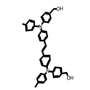 Cc1ccc(N(c2ccc(C=Cc3ccc(N(c4ccc(C)cc4)c4ccc(CO)cc4)cc3)cc2)c2ccc(CO)cc2)cc1